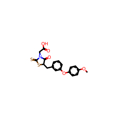 COc1ccc(Oc2cccc(CC3SC(=S)N(CC(=O)O)C3=O)c2)cc1